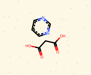 O=C(O)CC(=O)O.c1cncnc1